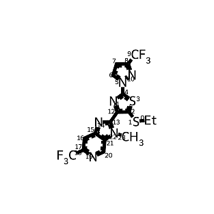 CCSc1sc(-n2ccc(C(F)(F)F)n2)nc1-c1nc2cc(C(F)(F)F)ncc2n1C